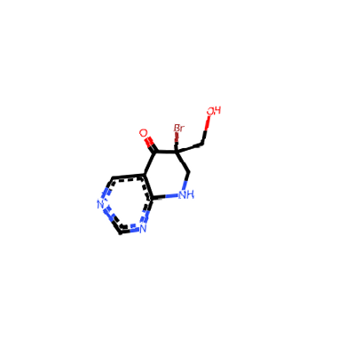 O=C1c2cncnc2NCC1(Br)CO